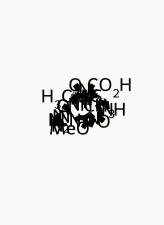 COC1CN(C(=O)C2C[C@H](SC3=C(C(=O)O)N4C(=O)[C@H]([C@@H](C)NC(=O)Cn5cnnn5)[C@H]4[C@H]3C)CN2)CC1CN